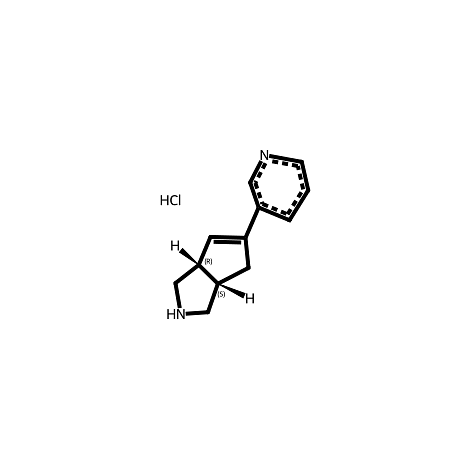 C1=C(c2cccnc2)C[C@@H]2CNC[C@H]12.Cl